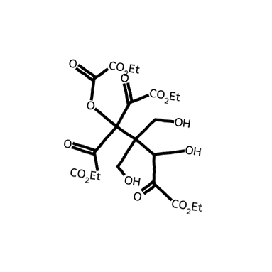 CCOC(=O)C(=O)OC(C(=O)C(=O)OCC)(C(=O)C(=O)OCC)C(CO)(CO)C(O)C(=O)C(=O)OCC